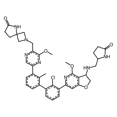 COc1nc(-c2cccc(-c3cccc(-c4cc5c(c(OC)n4)C(NCC4CCC(=O)N4)CO5)c3Cl)c2C)cnc1CN1CC2(CCC(=O)N2)C1